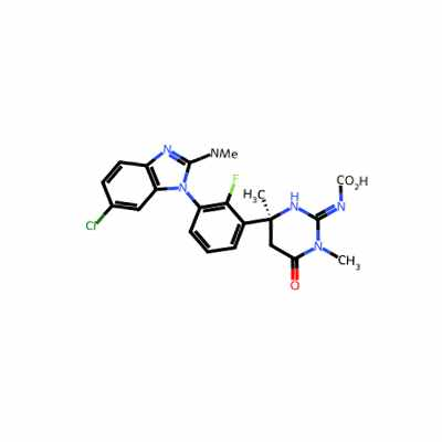 CNc1nc2ccc(Cl)cc2n1-c1cccc([C@]2(C)CC(=O)N(C)/C(=N/C(=O)O)N2)c1F